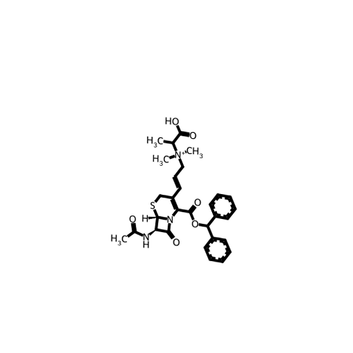 CC(=O)N[C@@H]1C(=O)N2C(C(=O)OC(c3ccccc3)c3ccccc3)=C(/C=C/C[N+](C)(C)C(C)C(=O)O)CS[C@@H]12